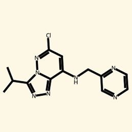 CC(C)c1nnc2c(NCc3cnccn3)cc(Cl)nn12